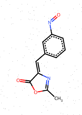 CC1=N/C(=C\c2cccc(N=O)c2)C(=O)O1